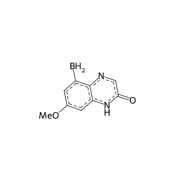 Bc1cc(OC)cc2[nH]c(=O)cnc12